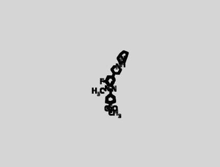 Cn1c(-c2ccc(S(C)(=O)=O)cc2)nc2cc(C3CCN(C4CC5CCC(C4)N5)CC3)cc(F)c21